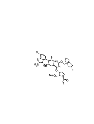 C=CC(=O)N1CC[C@@H](Oc2nc(OC[C@@]34CCCN3C[C@H](F)C4)nc3c(F)c(-c4ccc(F)c5sc(N)c(C#N)c45)c(Cl)cc23)[C@H]1COC